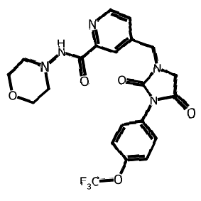 O=C(NN1CCOCC1)c1cc(CN2CC(=O)N(c3ccc(OC(F)(F)F)cc3)C2=O)ccn1